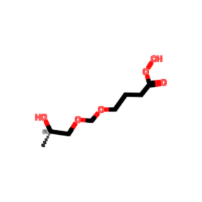 C[C@H](O)COCOCCCC(=O)OO